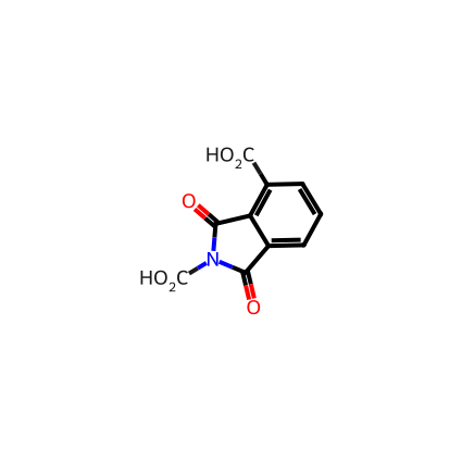 O=C(O)c1cccc2c1C(=O)N(C(=O)O)C2=O